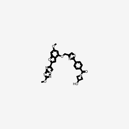 COc1cc(OCc2csc(-c3ccc(C(=O)N4CC(O)C4)cc3)n2)c2cc(-c3cn4nc(OC)sc4n3)oc2c1